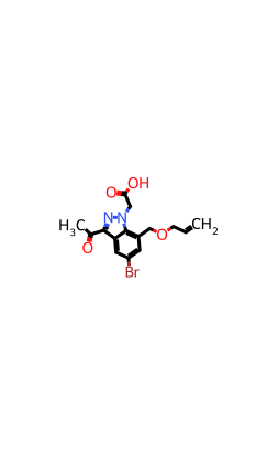 C=CCOCc1cc(Br)cc2c(C(C)=O)nn(CC(=O)O)c12